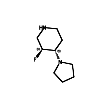 F[C@H]1CNCC[C@@H]1N1CCCC1